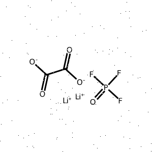 O=C([O-])C(=O)[O-].O=P(F)(F)F.[Li+].[Li+]